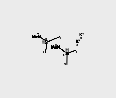 C[N-][SiH](C)C.C[N-][SiH](C)C.[K+].[K+]